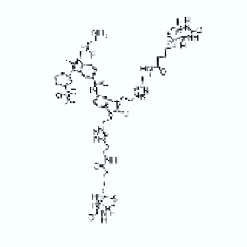 Cc1c(-c2cccc(S(=O)(=O)N(C)C)c2)c2cc(C(=O)Nc3ccc4c(c3)n(CCn3cc(CCNC(=O)CCCC[C@@H]5SC[C@@H]6NC(=O)N[C@@H]65)nn3)c(=O)n4CCn3cc(CCNC(=O)CCCC[C@@H]4SC[C@@H]5NC(=O)N[C@@H]54)nn3)ccc2n1C/C(F)=C/CN